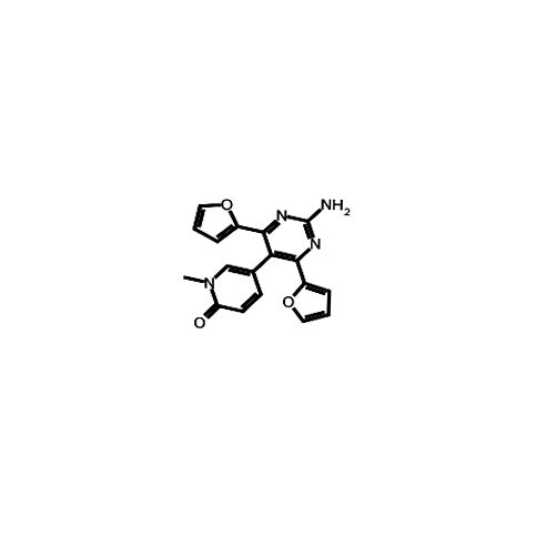 Cn1cc(-c2c(-c3ccco3)nc(N)nc2-c2ccco2)ccc1=O